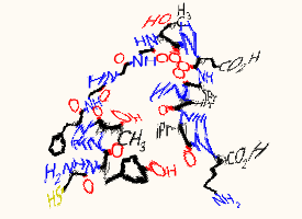 CC(C)[C@H](NC(=O)[C@H](CCC(=O)O)NC(=O)[C@@H](NC(=O)CNC(=O)CNC(=O)CNC(=O)[C@H](Cc1ccccc1)NC(=O)[C@@H](NC(=O)[C@H](Cc1ccc(O)cc1)NC(=O)[C@@H](N)CS)[C@@H](C)O)[C@@H](C)O)C(=O)N[C@H](C(=O)N[C@H](C(=O)N[C@@H](CCCCN)C(=O)O)C(C)C)C(C)C